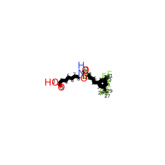 O=C(O)CCCCCCNS(=O)(=O)CCCCc1cc(C(F)(F)F)cc(C(F)(F)F)c1